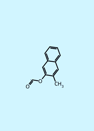 Cc1cc2ccccc2cc1O[C]=O